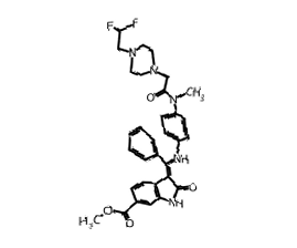 COC(=O)c1ccc2c(c1)NC(=O)/C2=C(\Nc1ccc(N(C)C(=O)CN2CCN(CC(F)F)CC2)cc1)c1ccccc1